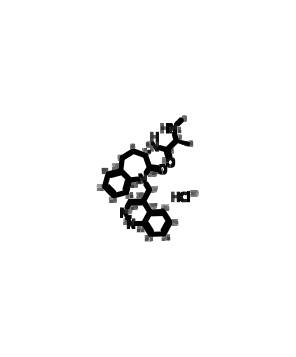 CN[C@@H](C)C(=O)N[C@H]1CCc2ccccc2N(Cc2cnnc3ccccc23)C1=O.Cl